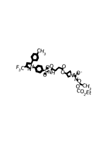 CCOC(=O)OC(C)ON=[N+]([O-])N1CC(OC(=O)CCC(=O)NS(=O)(=O)c2ccc(-n3nc(C(F)(F)F)cc3-c3ccc(C)cc3)cc2)C1